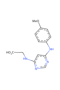 COc1ccc(Nc2cc(NCC(=O)O)ncn2)cc1